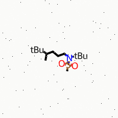 CC(CCCN(C(C)(C)C)S(C)(=O)=O)C(C)(C)C